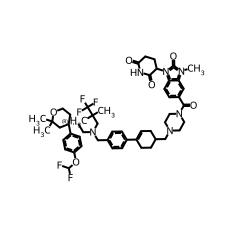 Cn1c(=O)n(C2CCC(=O)NC2=O)c2ccc(C(=O)N3CCN(CC4CC=C(c5ccc(CN(CC[C@@]6(c7ccc(OC(F)F)cc7)CCOC(C)(C)C6)CC(C)(C)C(F)(F)F)cc5)CC4)CC3)cc21